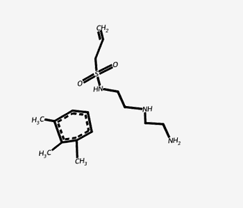 C=CCS(=O)(=O)NCCNCCN.Cc1cccc(C)c1C